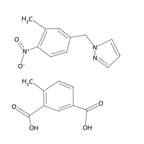 Cc1cc(Cn2cccn2)ccc1[N+](=O)[O-].Cc1ccc(C(=O)O)cc1C(=O)O